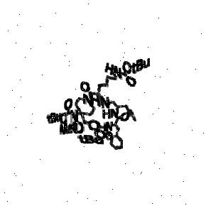 CC#CCC(CN[C@H](CCCCNC(=O)OC(C)(C)C)C(=O)N1CCC(NC(=O)OC(C)(C)C)(C(=O)OC)CC1)NC(=O)[C@@H](Cc1ccccc1)NC(=O)OC(C)(C)C